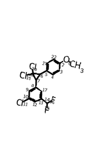 COc1ccc(C2C(c3cc(Cl)cc(C(F)F)c3)C2(Cl)Cl)cc1